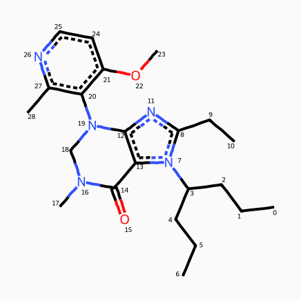 CCCC(CCC)n1c(CC)nc2c1C(=O)N(C)CN2c1c(OC)ccnc1C